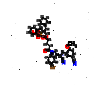 COc1ccc(C#N)cc1/C=C(\C#N)c1cn(C(=O)CCCCCC(Cc2ccccc2)(Cc2ccccc2)P(=O)(O)O)c2ccc(Br)cc12